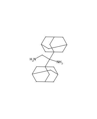 NCC(N)(C12CC3CC(CC(C3)C1)C2)C12CC3CC(CC(C3)C1)C2